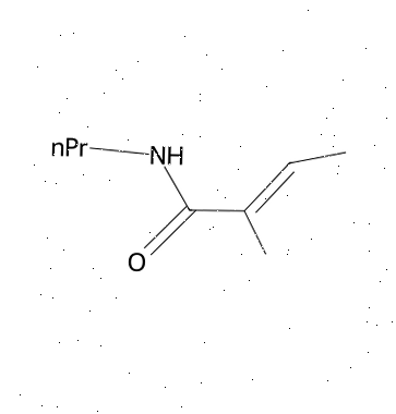 [CH2]CCNC(=O)C(C)=CC